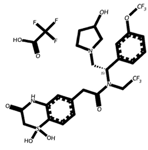 O=C(O)C(F)(F)F.O=C1CS(O)(O)c2ccc(CC(=O)N(CC(F)(F)F)[C@H](CN3CCC(O)C3)c3cccc(OC(F)(F)F)c3)cc2N1